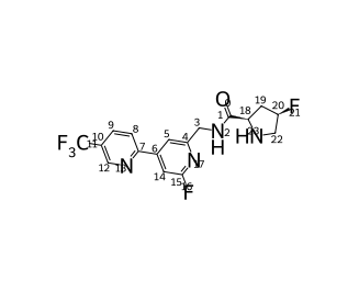 O=C(NCc1cc(-c2ccc(C(F)(F)F)cn2)cc(F)n1)[C@H]1C[C@@H](F)CN1